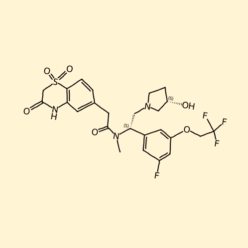 CN(C(=O)Cc1ccc2c(c1)NC(=O)CS2(=O)=O)[C@H](CN1CC[C@H](O)C1)c1cc(F)cc(OCC(F)(F)F)c1